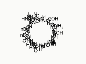 CCCC[C@H]1C(=O)N(C)[C@@H](CCCC)C(=O)N[C@@H](CCCNC(=N)N)C(=O)N[C@H](C(=O)NCC(N)=O)CSCC(=O)N[C@@H](Cc2ccc(O)cc2)C(=O)N(C)[C@@H](C)C(=O)N[C@@H](CC(N)=O)C(=O)N2C[C@H](O)C[C@H]2C(=O)N[C@@H](Cc2cnc[nH]2)C(=O)N[C@@H](CC(C)C)C(=O)N2CCC[C@H]2C(=O)N[C@@H](Cc2c[nH]c3ccccc23)C(=O)N[C@@H](CO)C(=O)N[C@@H](Cc2csc3ccccc23)C(=O)N1C